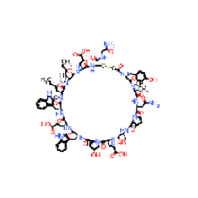 CCCC[C@H]1C(=O)N(C)[C@@H](CCCC)C(=O)N[C@@H](CCC(=O)O)C(=O)N[C@H](C(=O)NCC(N)=O)CSCC(=O)N[C@@H](Cc2ccc(O)cc2)C(=O)N(C)[C@@H](C)C(=O)N[C@@H](CC(N)=O)C(=O)N2CCC[C@H]2C(=O)N[C@@H](CO)C(=O)N[C@@H](CCC(=O)O)C(=O)N2C[C@H](O)C[C@H]2C(=O)N[C@@H](Cc2c[nH]c3ccccc23)C(=O)N[C@@H](CCC(=O)O)C(=O)N[C@@H](Cc2c[nH]c3ccccc23)C(=O)N1C